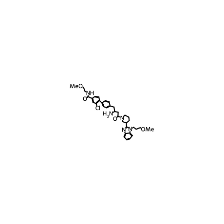 COCCCn1c(C2CCCN(C(=O)CC(N)Cc3ccc(-c4ccc(C(=O)NCCOC)cc4Cl)cc3)C2)nc2ccccc21